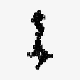 C=CC1=C(C(=O)N2Cc3cc4cc(OC(=O)OCc5ccc(NC(=O)C(CC(N)=O)NC(=O)[C@H](C)NC(=O)[C@@H](NC(=O)COCCOC)C(C)O)cc5)ccc4nc3C2)COC(=O)C1(O)CC